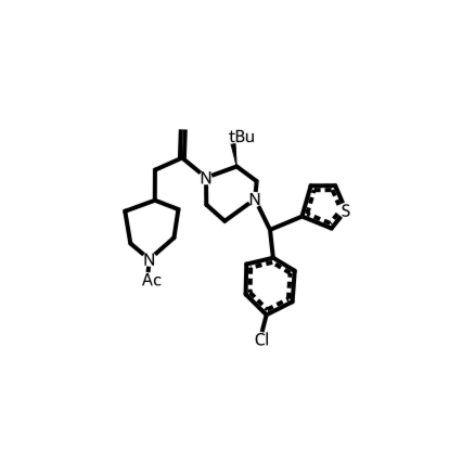 C=C(CC1CCN(C(C)=O)CC1)N1CCN(C(c2ccc(Cl)cc2)c2ccsc2)C[C@@H]1C(C)(C)C